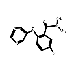 CN(C)C(=O)c1cc(Br)ccc1Nc1cncnc1